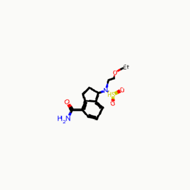 CCOCCN(C1CCc2c(C(N)=O)cccc21)[SH](=O)=O